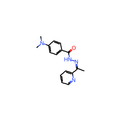 CC(=NNC(=O)c1ccc(N(C)C)cc1)c1ccccn1